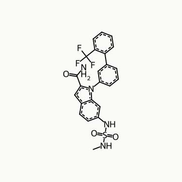 CNS(=O)(=O)Nc1ccc2cc(C(N)=O)n(-c3cccc(-c4ccccc4C(F)(F)F)c3)c2c1